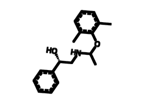 Cc1cccc(C)c1OC(C)NC[C@@H](O)c1ccccc1